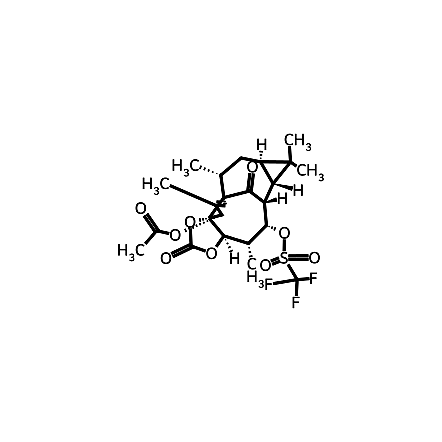 CC(=O)O[C@H]1C(C)=C[C@]23C(=O)[C@@H]([C@H](OS(=O)(=O)C(F)(F)F)[C@H](C)[C@H]4OC(=O)O[C@@]412)[C@@H]1[C@@H](C[C@H]3C)C1(C)C